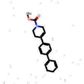 CC(C)(C)OC(=O)N1CC=C(c2ccc(C3=CCCC=C3)cc2)CC1